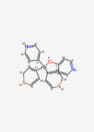 C1=CC([Si](Oc2ccncc2)(C2=CCSC=C2)c2ccncc2)=CCS1